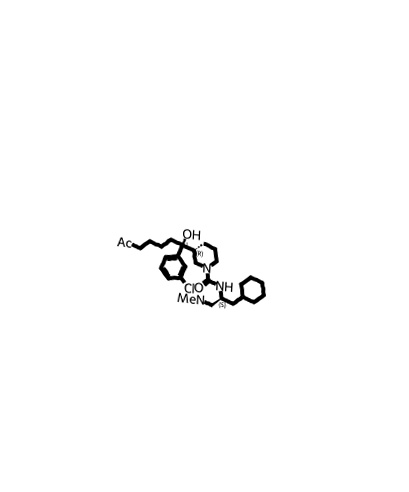 CNC[C@H](CC1CCCCC1)NC(=O)N1CCC[C@@H]([C@@](O)(CCCCC(C)=O)c2cccc(Cl)c2)C1